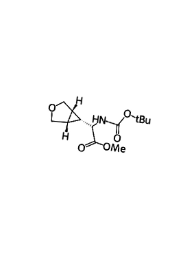 COC(=O)C(NC(=O)OC(C)(C)C)[C@@H]1[C@@H]2COC[C@@H]21